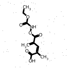 C=C(C=C(C)C(=O)O)C(=O)ONC(=O)OCC